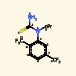 CCCN(C(N)=S)c1cc(C(F)(F)F)ccc1C(F)(F)F